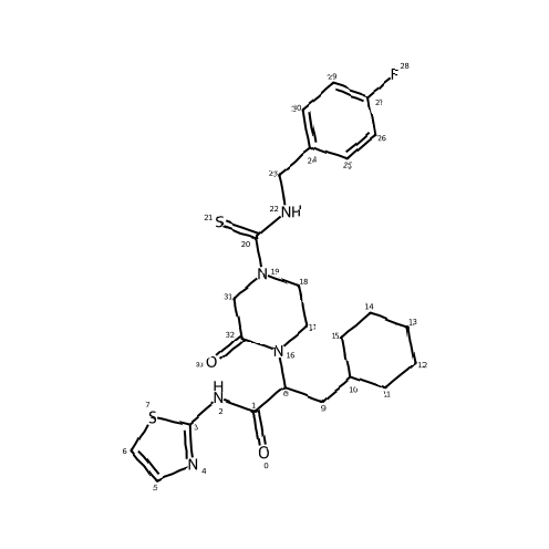 O=C(Nc1nccs1)C(CC1CCCCC1)N1CCN(C(=S)NCc2ccc(F)cc2)CC1=O